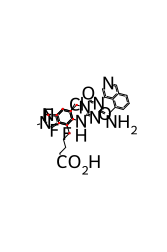 Cn1cc2c(CCCCC(=O)O)c(Nc3nc(=O)n(-c4cncc5cccc(CN)c45)c(=O)n3Cc3cc(F)c(F)c(F)c3)c(Cl)cc2n1